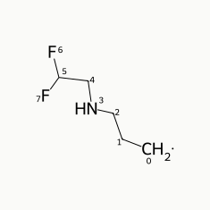 [CH2]CCNCC(F)F